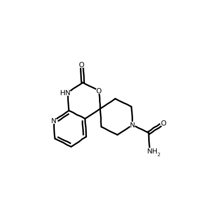 NC(=O)N1CCC2(CC1)OC(=O)Nc1ncccc12